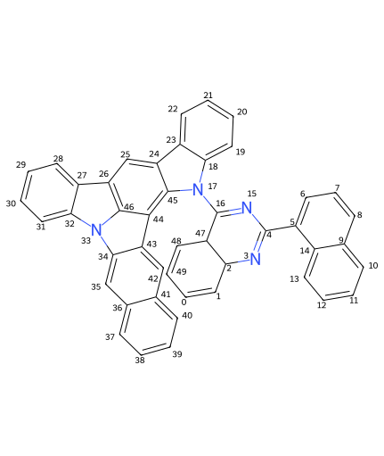 C1=CC2N=C(c3cccc4ccccc34)N=C(n3c4ccccc4c4cc5c6ccccc6n6c7cc8ccccc8cc7c(c43)c56)C2C=C1